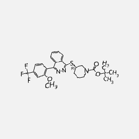 COc1cc(C(F)(F)F)ccc1-c1nnc(S[C@@H]2CCCN(C(=O)OC(C)(C)C)C2)c2ccccc12